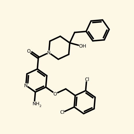 Nc1ncc(C(=O)N2CCC(O)(Cc3ccccc3)CC2)cc1OCc1c(Cl)cccc1Cl